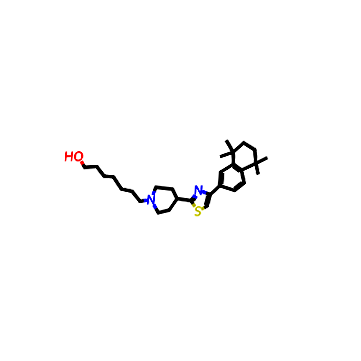 CC1(C)CCC(C)(C)c2cc(-c3csc(C4CCN(CCCCCCCO)CC4)n3)ccc21